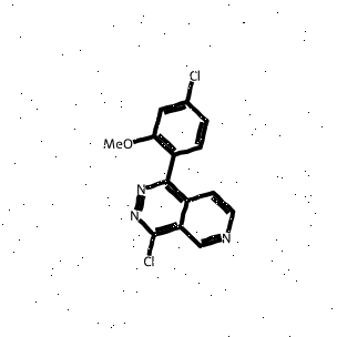 COc1cc(Cl)ccc1-c1nnc(Cl)c2cnccc12